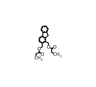 CCC(=O)OCc1ccc2c(c1COC(=O)CC)Cc1ccccc1-2